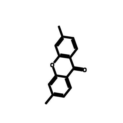 Cc1ccc2c(=O)c3ccc(C)cc3oc2c1